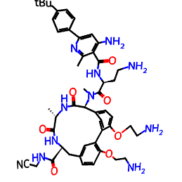 Cc1nc(-c2ccc(C(C)(C)C)cc2)cc(N)c1C(=O)N[C@@H](CCN)C(=O)N(C)[C@@H]1C(=O)N[C@@H](C)C(=O)N[C@H](C(=O)NCC#N)Cc2ccc(OCCN)c(c2)-c2cc1ccc2OCCN